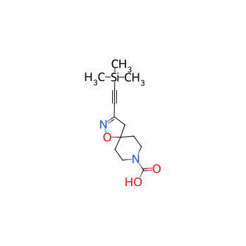 C[Si](C)(C)C#CC1=NOC2(CCN(C(=O)O)CC2)C1